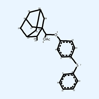 CC(=O)OC(Oc1ccc(Sc2ccccc2)cc1)C12CC3CC(CC(C3)C1C)C2